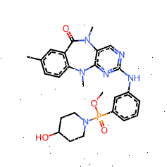 COP(=O)(c1cccc(Nc2ncc3c(n2)N(C)c2ccc(C)cc2C(=O)N3C)c1)N1CCC(O)CC1